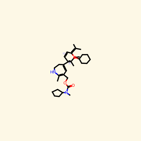 CC/C(C)=C(\C=C/C(OC1CCCCC1)=C(C)C)C1=CC(COC(=O)N(C)C2CCCC2)=C(C)NCC1